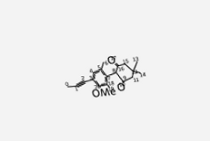 CC#Cc1cc(C)c(C2C(=O)CC(C)(C)CC2=O)c(OC)c1